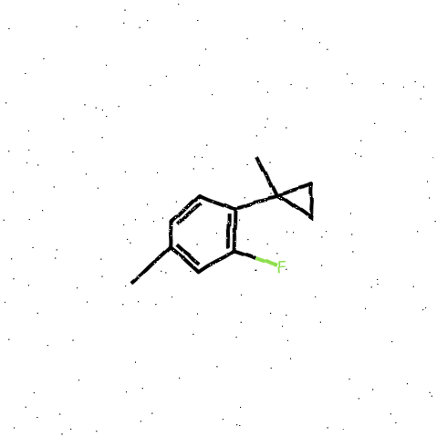 Cc1ccc(C2(C)CC2)c(F)c1